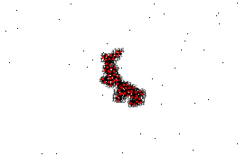 c1ccc(-c2ccc(-n3c4ccccc4c4cc(-c5cccc6c5c5ccccc5n6-c5ccc(-c6ccccc6-c6ccccc6)c6c5oc5ccc(-c7ccc8c(c7)c7ccc(-c9cccc%10c9c9ccccc9n%10-c9ccc(-c%10ccccc%10-c%10ccccc%10)c%10c9oc9ccccc9%10)cc7n8-c7ccc(-c8ccccc8)cc7)cc56)ccc43)cc2)cc1